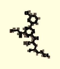 C=N/C=C(F)\C=C(/C)Nc1nc(NCC(C)C)nc(-c2cccc(Cl)n2)n1